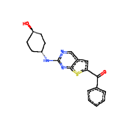 O=C(c1ccccc1)c1cc2cnc(N[C@H]3CC[C@H](O)CC3)nc2s1